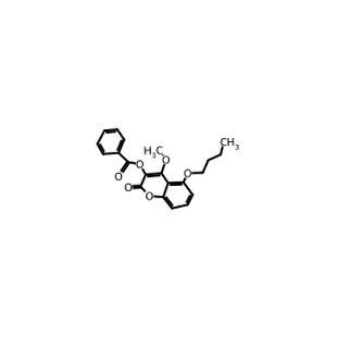 CCCCOc1cccc2oc(=O)c(OC(=O)c3ccccc3)c(OC)c12